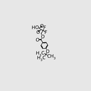 CC(C)(C)Oc1ccc(C(=O)OCC(F)(F)S(=O)(=O)O)cc1